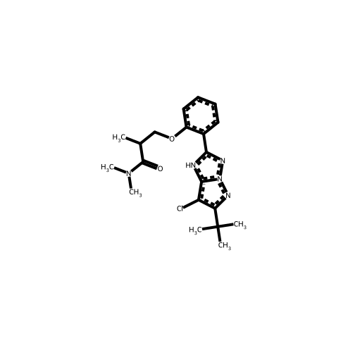 CC(COc1ccccc1-c1nn2nc(C(C)(C)C)c(Cl)c2[nH]1)C(=O)N(C)C